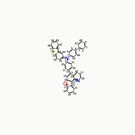 c1ccc(-c2ccc(N(c3ccc(-c4cc5oc6ccccc6c5c5ncccc45)cc3)c3ccc4sc5ccccc5c4c3)cc2)cc1